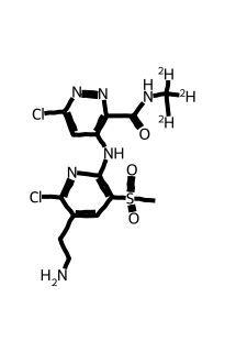 [2H]C([2H])([2H])NC(=O)c1nnc(Cl)cc1Nc1nc(Cl)c(CCN)cc1S(C)(=O)=O